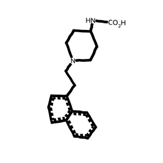 O=C(O)NC1CCN(CCc2cccc3ccccc23)CC1